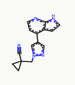 N#CC1(Cn2cc(-c3ccnc4[nH]ccc34)cn2)CC1